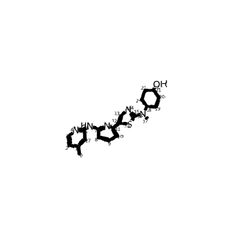 Cc1ccnc(Nc2cccc(-c3cnc(N(C)C4CCC(O)CC4)s3)n2)c1